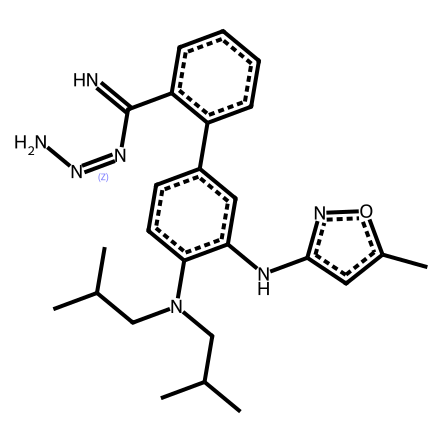 Cc1cc(Nc2cc(-c3ccccc3C(=N)/N=N\N)ccc2N(CC(C)C)CC(C)C)no1